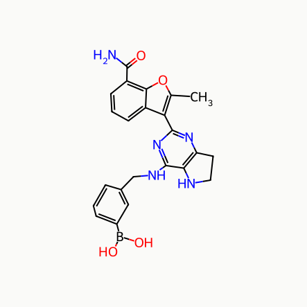 Cc1oc2c(C(N)=O)cccc2c1-c1nc2c(c(NCc3cccc(B(O)O)c3)n1)NCC2